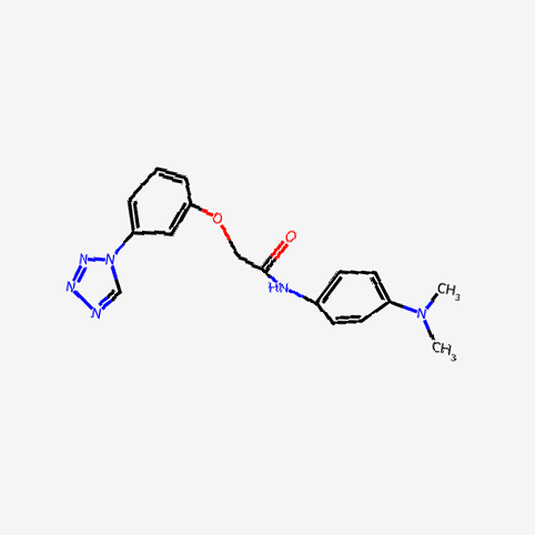 CN(C)c1ccc(NC(=O)COc2cccc(-n3cnnn3)c2)cc1